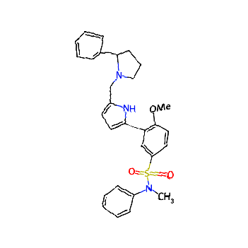 COc1ccc(S(=O)(=O)N(C)c2ccccc2)cc1-c1ccc(CN2CCCC2c2ccccc2)[nH]1